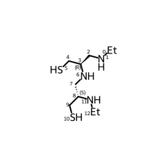 CCNC[C@H](CS)NC[C@@H](CS)NCC